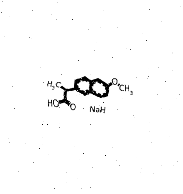 COc1ccc2cc(C(C)C(=O)O)ccc2c1.[NaH]